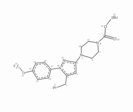 CC(C)Cc1cc(N2CCN(C(=O)OC(C)(C)C)CC2)nn1-c1ccc(OC(F)(F)F)cc1